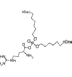 CCCCCCCCCCCCCCCCOP(=O)(OCCCCCCCCCCCCCCCC)OC(=O)[C@@H](N)CCCNC(=N)N